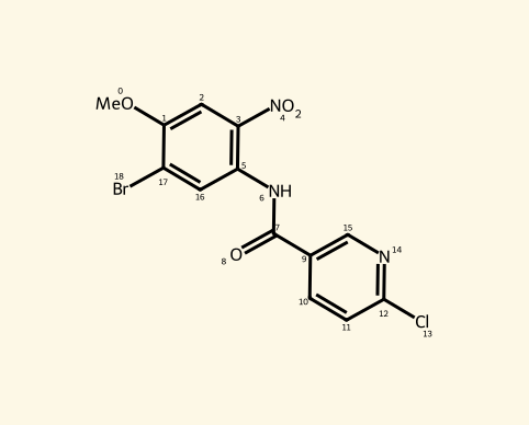 COc1cc([N+](=O)[O-])c(NC(=O)c2ccc(Cl)nc2)cc1Br